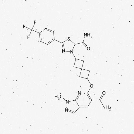 Cn1ncc2cc(C(N)=O)c(OC3CC4(C3)CC(N3N=C(c5ccc(C(F)(F)F)cc5)SC3C(N)=O)C4)nc21